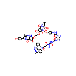 COc1ccc(C2=CN3C(=O)c4cc(OC)c(OCCCOc5cc6c(cc5OC)C(=O)N5CC7(CC7)C[C@H]5[C@H](O)N6C(=O)OCc5ccc(NC(=O)[C@H](C)NC(=O)[C@@H](NC(=O)CNC(=O)CNC(=O)CCC(=O)N6Cc7ccccc7-c7nnn(C(C)C)c7-c7ccccc76)C(C)C)cc5)cc4NC[C@@H]3C2)cc1